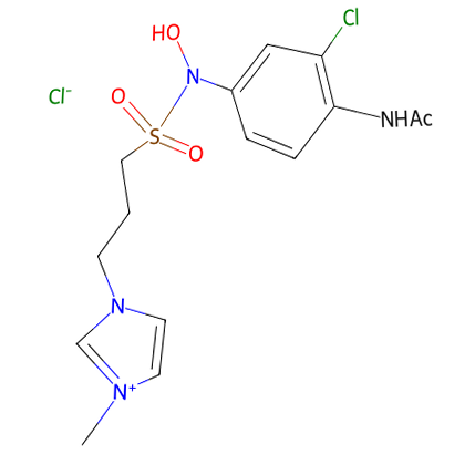 CC(=O)Nc1ccc(N(O)S(=O)(=O)CCCn2cc[n+](C)c2)cc1Cl.[Cl-]